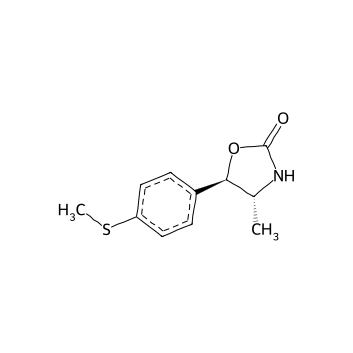 CSc1ccc([C@H]2OC(=O)N[C@@H]2C)cc1